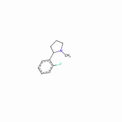 CN1CCCC1c1ccc[c]c1F